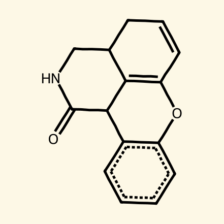 O=C1NCC2CC=CC3=C2C1c1ccccc1O3